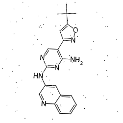 CC(C)(C)c1cc(-c2cnc(Nc3cnc4ccccc4c3)nc2N)no1